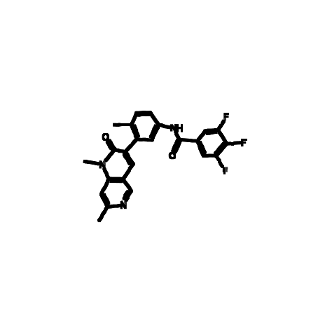 Cc1cc2c(cn1)cc(-c1cc(NC(=O)c3cc(F)c(F)c(F)c3)ccc1C)c(=O)n2C